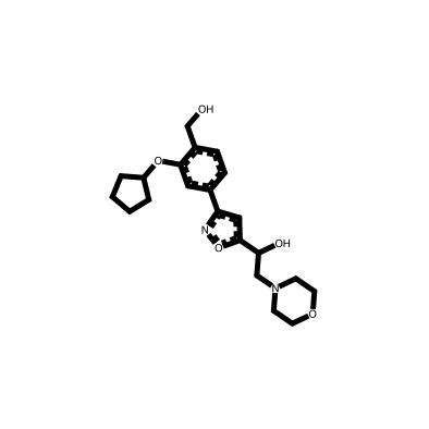 OCc1ccc(-c2cc(C(O)CN3CCOCC3)on2)cc1OC1CCCC1